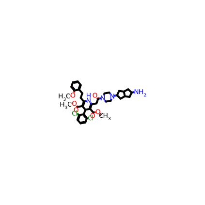 COC(=O)C1=C(CCc2ccccc2OC)NC(CC(=O)N2CCN(C3CC4CC(N)CC4C3)CC2)=C(C(=O)OC)C1c1c(Cl)cccc1Cl